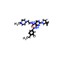 CCc1ccc(CNc2nc(N3CCC4(CC4)C3)ncc2C(=O)NCCN2CCN(C)CC2)cc1Cl